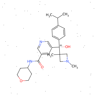 CC(C)c1ccc([C@](O)(c2cncc(C(=O)NC3CCOCC3)c2)C2(C)CN(C)C2)cc1